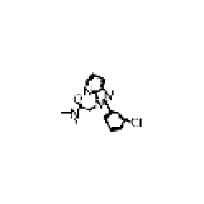 CN(C)C(=O)Cn1c(-c2cccc(Cl)c2)nc2cccnc21